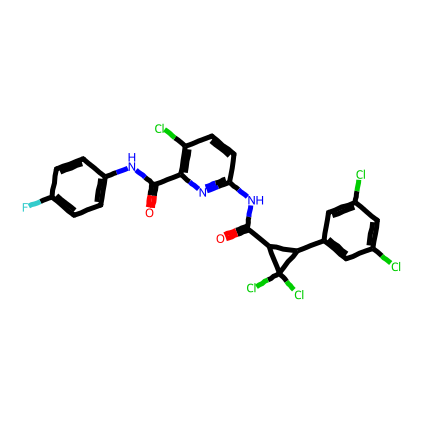 O=C(Nc1ccc(F)cc1)c1nc(NC(=O)C2C(c3cc(Cl)cc(Cl)c3)C2(Cl)Cl)ccc1Cl